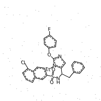 CCn1c(C(Cc2ccccc2)NS(=O)(=O)c2ccc3c(Cl)cccc3c2)cnc1Oc1ccc(F)cc1